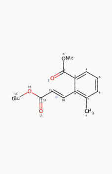 COC(=O)c1cccc(C)c1/C=C/C(=O)OC(C)(C)C